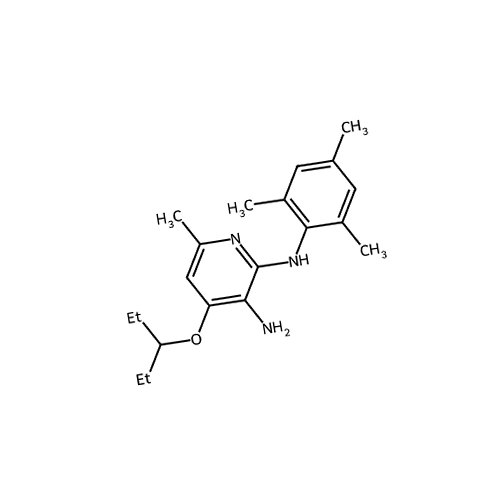 CCC(CC)Oc1cc(C)nc(Nc2c(C)cc(C)cc2C)c1N